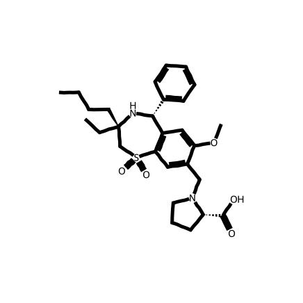 CCCC[C@]1(CC)CS(=O)(=O)c2cc(CN3CCC[C@H]3C(=O)O)c(OC)cc2[C@@H](c2ccccc2)N1